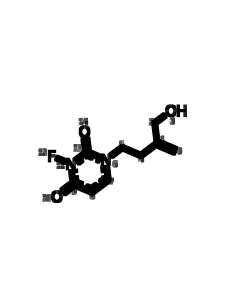 C=C(CO)CCn1ccc(=O)n(F)c1=O